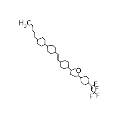 CCCCCC1CCC(C2CCC(/C=C/C3CCC(C4CCC(C5CCC(/C(F)=C/C(F)(F)F)CC5)OC4)CC3)CC2)CC1